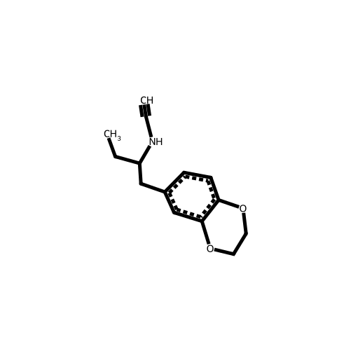 C#CNC(CC)Cc1ccc2c(c1)OCCO2